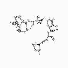 O=C(C#Cc1ccccc1)CNc1cccc(CNC(=O)NCc2ccnc3[nH]ccc23)c1